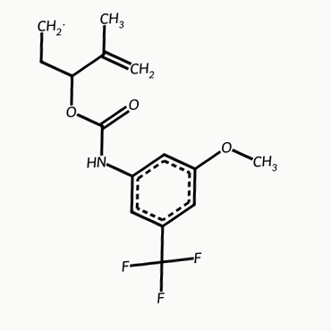 [CH2]CC(OC(=O)Nc1cc(OC)cc(C(F)(F)F)c1)C(=C)C